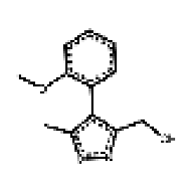 COc1ccccc1-c1c(CO)noc1C